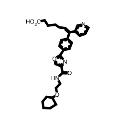 O=C(O)CCCC/C=C(\c1ccc(-c2nc(C(=O)NCCOC3CCCCC3)co2)cc1)c1cccnc1